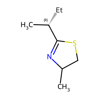 CC[C@@H](C)C1=NC(C)CS1